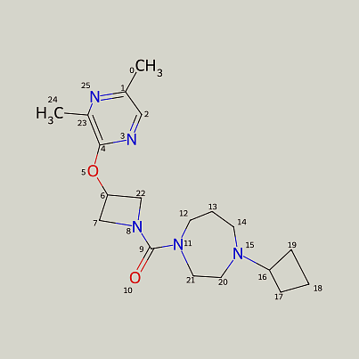 Cc1cnc(OC2CN(C(=O)N3CCCN(C4CCC4)CC3)C2)c(C)n1